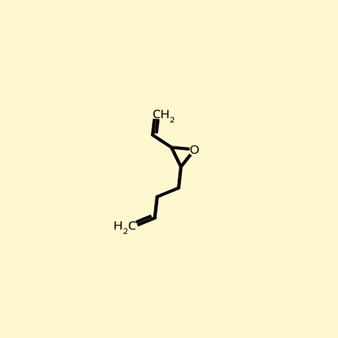 C=CCCC1OC1C=C